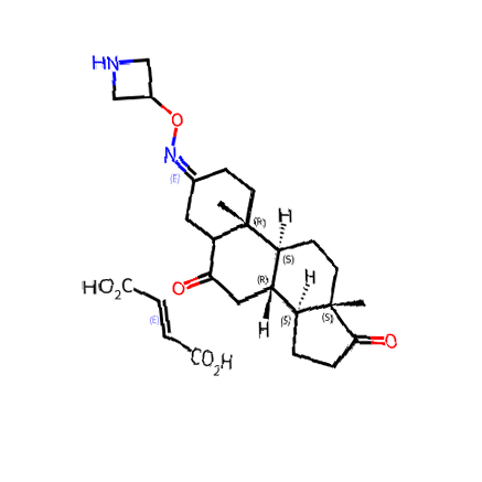 C[C@]12CC/C(=N\OC3CNC3)CC1C(=O)C[C@@H]1[C@@H]2CC[C@]2(C)C(=O)CC[C@@H]12.O=C(O)/C=C/C(=O)O